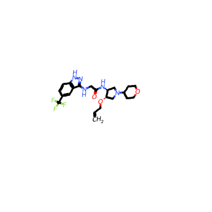 C=CCO[C@H]1CN(C2CCOCC2)C[C@@H]1NC(=O)CNc1n[nH]c2ccc(C(F)(F)F)cc12